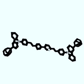 C(=Cc1ccc(-n2c3ccccc3c3cc(C45CC6CC(CC(C6)C4)C5)ccc32)cc1)c1ccc(-c2ccc(C=Cc3ccc(-n4c5ccccc5c5cc(C67CC8CC(CC(C8)C6)C7)ccc54)cc3)cc2)cc1